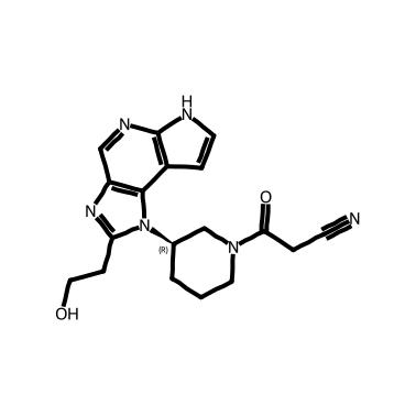 N#CCC(=O)N1CCC[C@@H](n2c(CCO)nc3cnc4[nH]ccc4c32)C1